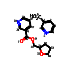 O=C(O)c1cccnc1.O=C(OCC1CCCO1)c1cccnc1